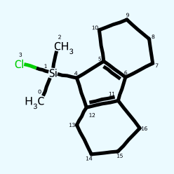 C[Si](C)(Cl)C1C2=C(CCCC2)C2=C1CCCC2